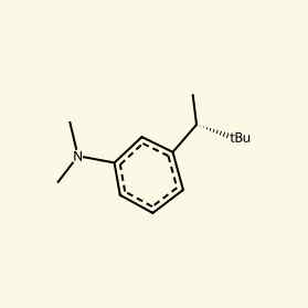 C[C@@H](c1cccc(N(C)C)c1)C(C)(C)C